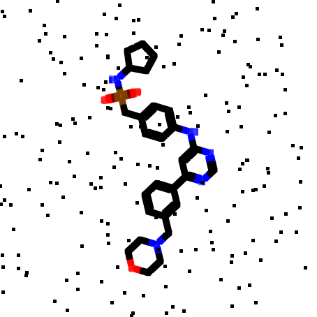 O=S(=O)(Cc1ccc(Nc2cc(-c3cccc(CN4CCOCC4)c3)ncn2)cc1)NC1CCCC1